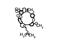 COc1ccc2cc1Oc1ccc(cc1)CC1c3c(cc(OC)c4c3Oc3cc5c(cc3O4)CCN(CCCN(C)C)C5C2)CCN1C